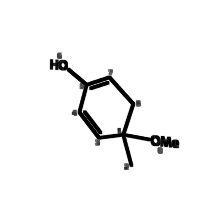 COC1(C)C=CC(O)=CC1